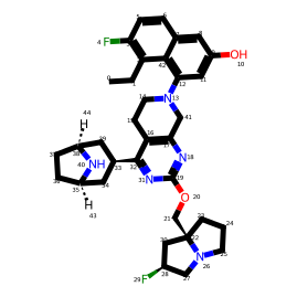 CCc1c(F)ccc2cc(O)cc(N3CCc4c(nc(OC[C@@]56CCCN5C[C@@H](F)C6)nc4[C@H]4C[C@H]5CC[C@@H](C4)N5)C3)c12